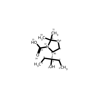 CCC(O)(CC)[C@H]1COC(C)(C)N1C(=O)O